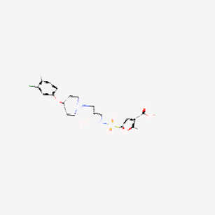 COC(=O)c1cc(S(=O)(=O)NC[C@@H](O)CN2CCC(Oc3ccc(Cl)c(Cl)c3)CC2)oc1C